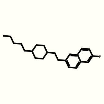 CCCCCC1CCC(CCc2ccc3cc(F)ccc3c2)CC1